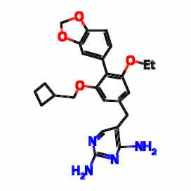 CCOc1cc(Cc2cnc(N)nc2N)cc(OCC2CCC2)c1-c1ccc2c(c1)OCO2